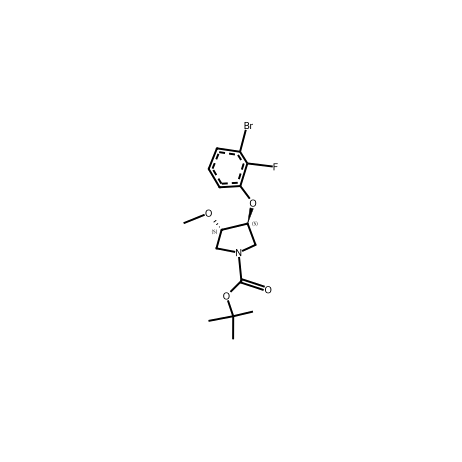 CO[C@H]1CN(C(=O)OC(C)(C)C)C[C@@H]1Oc1cccc(Br)c1F